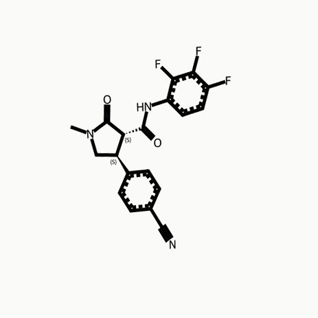 CN1C[C@H](c2ccc(C#N)cc2)[C@@H](C(=O)Nc2ccc(F)c(F)c2F)C1=O